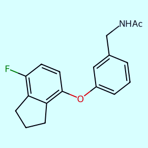 CC(=O)NCc1cccc(Oc2ccc(F)c3c2CCC3)c1